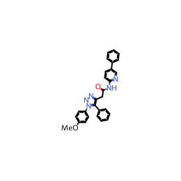 COc1ccc(-n2nnc(CC(=O)Nc3ccc(-c4ccccc4)cn3)c2-c2ccccc2)cc1